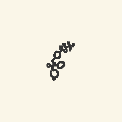 CN1CCCN(C(=O)N(Cc2ccc(-c3nnc(C(F)(F)F)o3)cc2)c2ccccc2)CC1